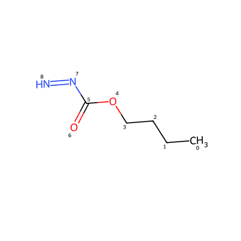 CCCCOC(=O)N=N